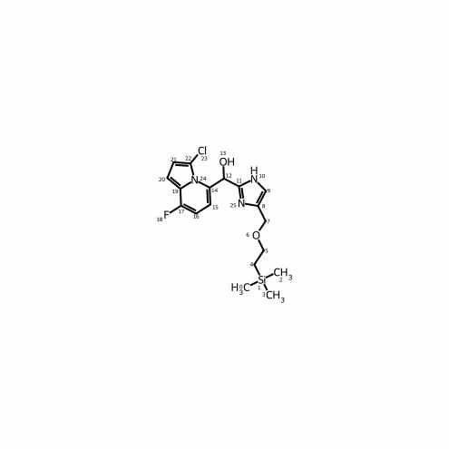 C[Si](C)(C)CCOCc1c[nH]c(C(O)c2ccc(F)c3ccc(Cl)n23)n1